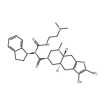 CN(C)CCNC(=O)N(C(=O)[C@@H]1C[C@@H]2Cc3c(sc(N)c3C#N)C[C@H]2N(C)C1)[C@H]1CCc2ccccc21